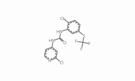 O=C(Nc1ccnc(Cl)c1)Nc1cc(SC(F)(F)F)ccc1Cl